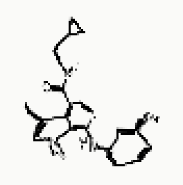 Cc1c[nH]c2c(Nc3cccc(Br)c3)ncc(C(=O)NCC3CC3)c12